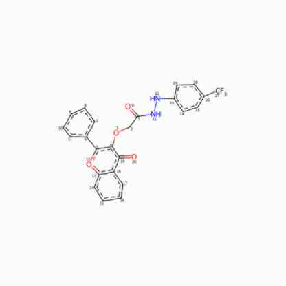 O=C(COc1c(-c2ccccc2)oc2ccccc2c1=O)NNc1ccc(C(F)(F)F)cc1